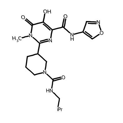 CC(C)CNC(=O)N1CCCC(c2nc(C(=O)Nc3cnoc3)c(O)c(=O)n2C)C1